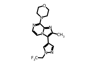 Cc1nc2c(N3CCOCC3)nccn2c1-c1cnn(CC(F)(F)F)c1